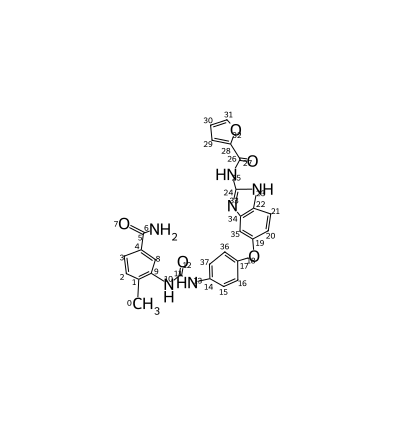 Cc1ccc(C(N)=O)cc1NC(=O)Nc1ccc(Oc2ccc3[nH]c(NC(=O)c4ccco4)nc3c2)cc1